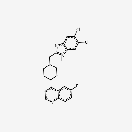 Fc1ccc2nccc(C3CCC(Cc4nc5cc(Cl)c(Cl)cc5[nH]4)CC3)c2c1